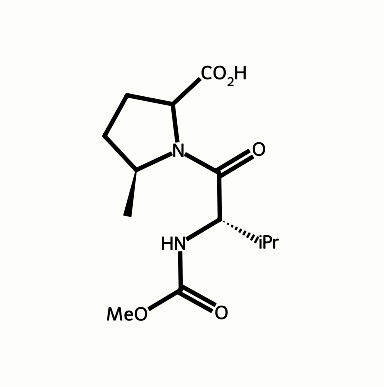 COC(=O)N[C@H](C(=O)N1C(C(=O)O)CC[C@@H]1C)C(C)C